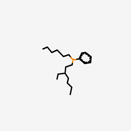 CCCCCCP(CCC(CC)CCCC)c1ccccc1